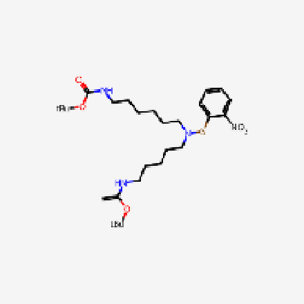 C=C(NCCCCCN(CCCCCCNC(=O)OC(C)(C)C)Sc1ccccc1[N+](=O)[O-])OC(C)(C)C